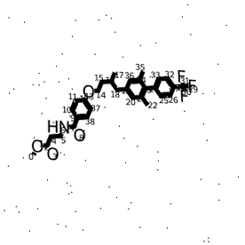 COC(=O)CCNC(=O)c1ccc(OCCC(C)Cc2cc(C)c(-c3ccc(C(F)(F)F)cc3)c(C)c2)cc1